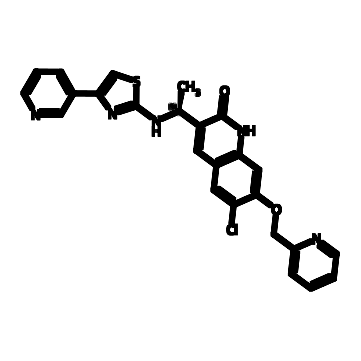 C[C@H](Nc1nc(-c2cccnc2)cs1)c1cc2cc(Cl)c(OCc3ccccn3)cc2[nH]c1=O